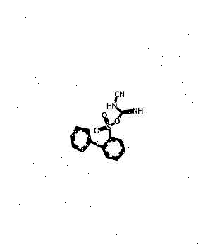 N#CNC(=N)OS(=O)(=O)c1ccccc1-c1ccccc1